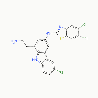 NCCc1cc(NC2=NC3C=C(Cl)C(Cl)=CC3S2)cc2c1[nH]c1ccc(Cl)cc12